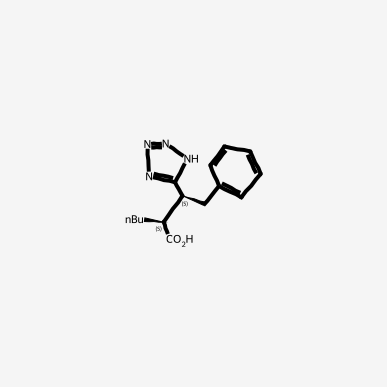 CCCC[C@H](C(=O)O)[C@H](Cc1ccccc1)c1nnn[nH]1